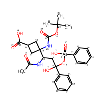 CC(=O)NC(CC(O)(O[As](=O)(O)c1ccccc1)c1ccccc1)C1(NC(=O)OC(C)(C)C)CC(C(=O)O)C1